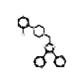 Oc1ccccc1N1CCN(Cc2nc(-c3ccccc3)c(-c3ccccc3)o2)CC1